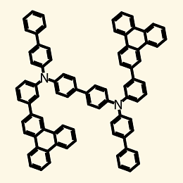 c1ccc(-c2ccc(N(c3ccc(-c4ccc(N(c5ccc(-c6ccccc6)cc5)c5cccc(-c6ccc7c8ccccc8c8ccccc8c7c6)c5)cc4)cc3)c3cccc(-c4ccc5c6ccccc6c6ccccc6c5c4)c3)cc2)cc1